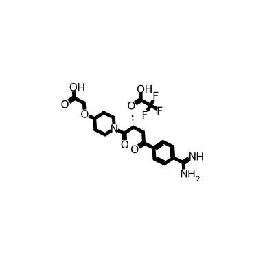 C[C@H](CC(=O)c1ccc(C(=N)N)cc1)C(=O)N1CCC(OCC(=O)O)CC1.O=C(O)C(F)(F)F